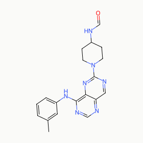 Cc1cccc(Nc2ncnc3cnc(N4CCC(NC=O)CC4)nc23)c1